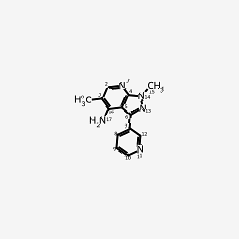 Cc1cnc2c(c(-c3cccnc3)nn2C)c1N